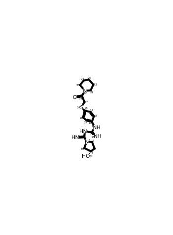 N=C(NC(=N)N1CC[C@H](O)C1)Nc1ccc(SCC(=O)N2CCCCC2)cc1